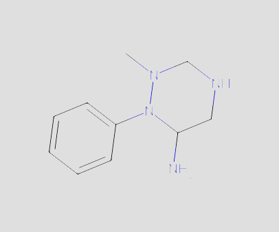 CN1CNCC(N)N1c1ccccc1